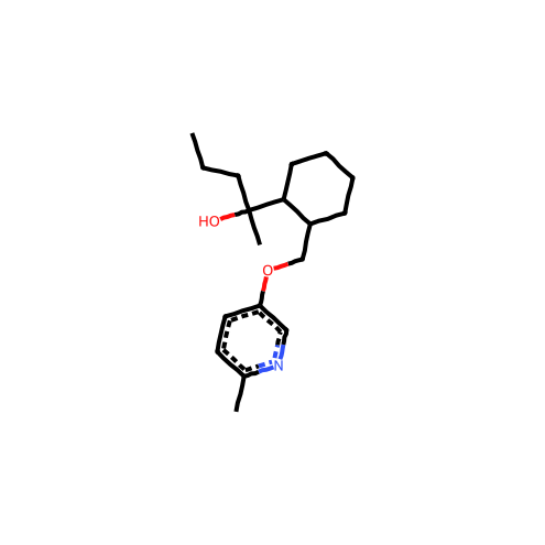 CCCC(C)(O)C1CCCCC1COc1ccc(C)nc1